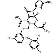 CC(=O)NC1S[C@H]2C(c3csc(N)n3)C(=O)N2C(C(=O)O)=C1COc1cc(Cl)ccc1Oc1ccc(Cl)cc1Cl